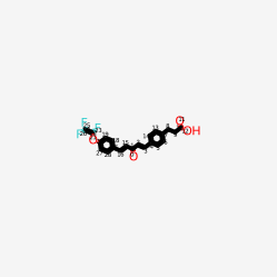 O=C(C=Cc1ccc(CCC(=O)O)cc1)C=Cc1ccc(OC(F)=C(F)F)cc1